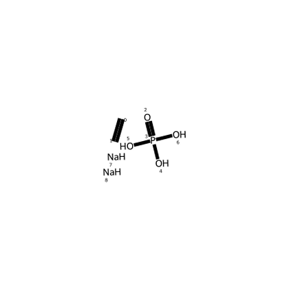 C=C.O=P(O)(O)O.[NaH].[NaH]